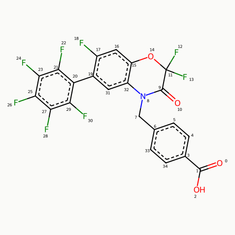 O=C(O)c1ccc(CN2C(=O)C(F)(F)Oc3cc(F)c(-c4c(F)c(F)c(F)c(F)c4F)cc32)cc1